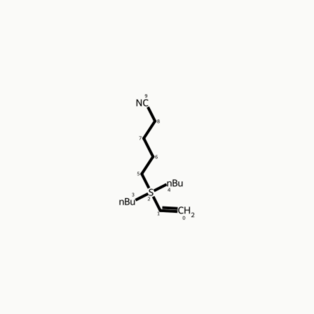 C=CS(CCCC)(CCCC)CCCCC#N